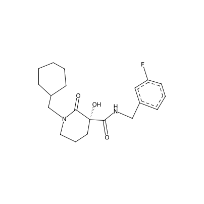 O=C(NCc1cccc(F)c1)[C@@]1(O)CCCN(CC2CCCCC2)C1=O